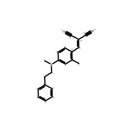 Cc1cc(N(C)CCc2ccccc2)ccc1C=C(C#N)C#N